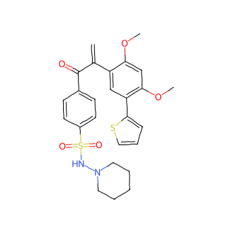 C=C(C(=O)c1ccc(S(=O)(=O)NN2CCCCC2)cc1)c1cc(-c2cccs2)c(OC)cc1OC